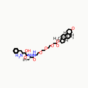 CC(C)C[C@H](NC(=O)[C@@H](O)[C@H](N)Cc1ccccc1)C(=O)NCCOCCOCCOCC(=O)O[C@H]1CC[C@H]2[C@@H]3CC[C@H]4CC(=O)CC[C@]4(C)[C@H]3CC[C@]12C